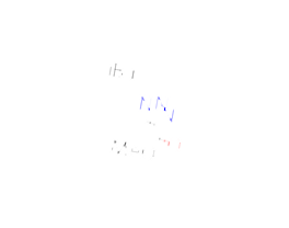 CCC(C)CCn1cc(C(=O)OC)nn1